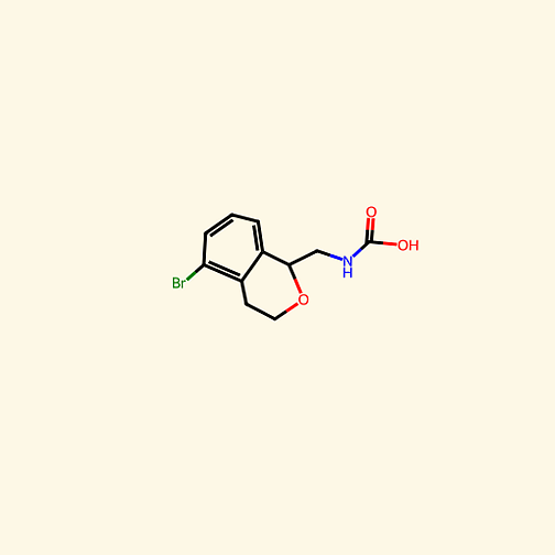 O=C(O)NCC1OCCc2c(Br)cccc21